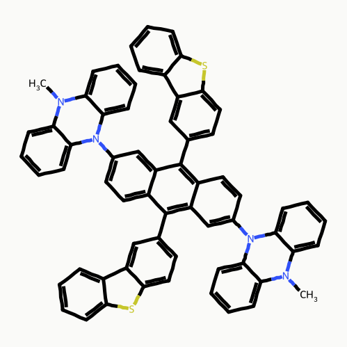 CN1c2ccccc2N(c2ccc3c(-c4ccc5sc6ccccc6c5c4)c4cc(N5c6ccccc6N(C)c6ccccc65)ccc4c(-c4ccc5sc6ccccc6c5c4)c3c2)c2ccccc21